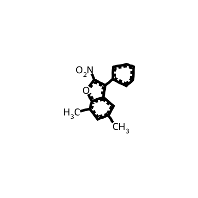 Cc1cc(C)c2oc([N+](=O)[O-])c(-c3ccccc3)c2c1